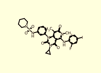 Cc1c(=O)n(C)c(Nc2ccc(I)cc2F)c2c(=O)n(C3CC3)c(=O)n(-c3cccc(NS(=O)(=O)N4CCCCC4)c3)c12